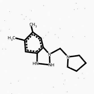 Cc1cc2c(cc1C)N(CN1CCCC1)NN2